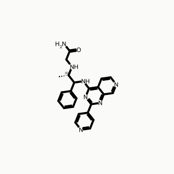 C[C@H](NCC(N)=O)C(Nc1nc(-c2ccncc2)nc2cnccc12)c1ccccc1